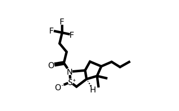 CCCC1CC2[C@H](C[S+]([O-])N2C(=O)CCC(F)(F)F)C1(C)C